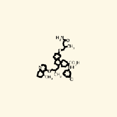 CC(COc1ccc2c(c1)C1(CCC(Nc3cccc(Cl)c3)(C(=O)O)CC1)C(C[C@@H](C)COc1ccnc3c1[C@H](C)CCC3)C2)CC(N)=O